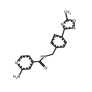 Cc1nc(-c2ccc(CNC(=O)c3ccnc(N)c3)cc2)no1